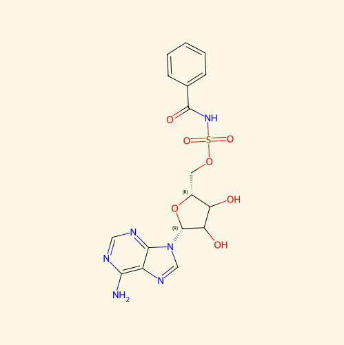 Nc1ncnc2c1ncn2[C@@H]1O[C@H](COS(=O)(=O)NC(=O)c2ccccc2)C(O)C1O